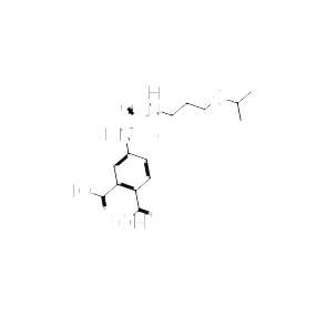 CC(C)OCCCNS(=O)(=O)Nc1ccc(C(=O)O)c(C(=O)O)c1